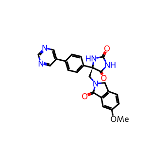 COc1ccc2c(c1)C(=O)N(C[C@@]1(c3ccc(-c4cncnc4)cc3)NC(=O)NC1=O)C2